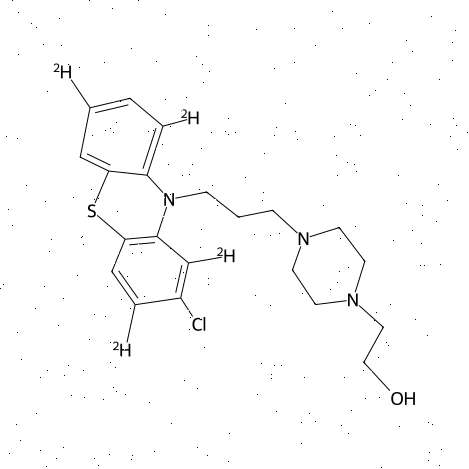 [2H]c1cc([2H])c2c(c1)Sc1cc([2H])c(Cl)c([2H])c1N2CCCN1CCN(CCO)CC1